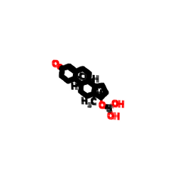 C[C@]12CC[C@H]3[C@@H](CCC4=CC(=O)CC[C@@]43C)[C@@H]1CC[C@@H]2OB(O)O